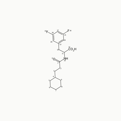 O=C(CCC1CCCCC1)NC(Cc1cc(F)cc(F)c1)C(=O)O